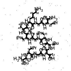 CC[C@H](C)[C@H](N)C(=O)N[C@@H](CC(C)C)C(=O)NCC(=O)N[C@H](C(=O)N[C@H](C(=O)N[C@@H](CC(C)C)C(=O)NCC(=O)N[C@@H](CC(C)C)C(=O)N[C@@H](CC(C)C)C(=O)N[C@@H](CCCCN)C(=O)NCC(=O)N[C@@H](CC(C)C)C(N)=O)[C@@H](C)CC)[C@@H](C)O